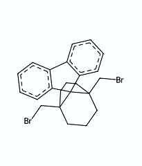 BrCC12CCCC(CBr)(CCC1)C21c2ccccc2-c2ccccc21